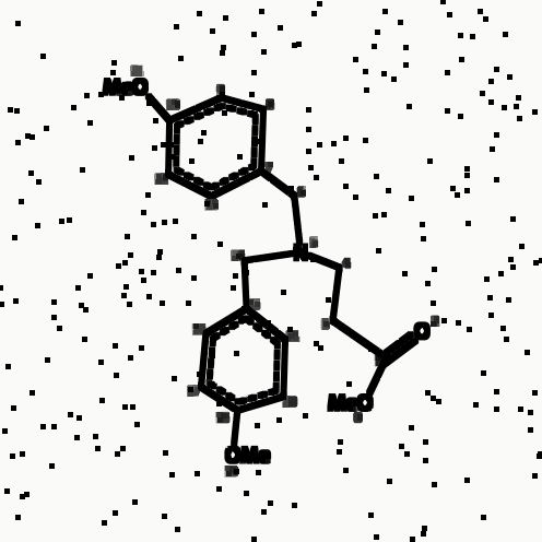 COC(=O)CCN(Cc1ccc(OC)cc1)Cc1ccc(OC)cc1